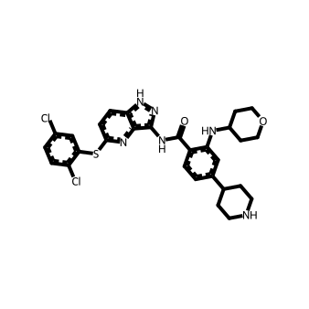 O=C(Nc1n[nH]c2ccc(Sc3cc(Cl)ccc3Cl)nc12)c1ccc(C2CCNCC2)cc1NC1CCOCC1